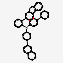 c1ccc(-c2ccc(N(c3ccc(-c4ccc5ccccc5c4)cc3)c3ccccc3-c3ccc4c(c3)sc3ccccc34)cc2)cc1